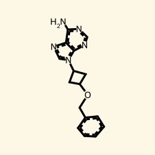 Nc1ncnc2c1ncn2C1CC(OCc2ccccc2)C1